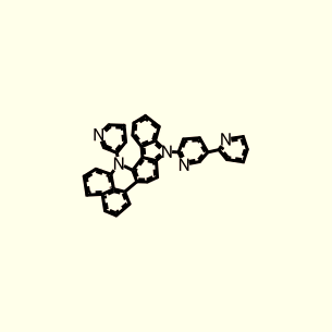 c1ccc(-c2ccc(-n3c4ccccc4c4c5c(ccc43)-c3cccc4cccc(c34)N5c3cccnc3)nc2)nc1